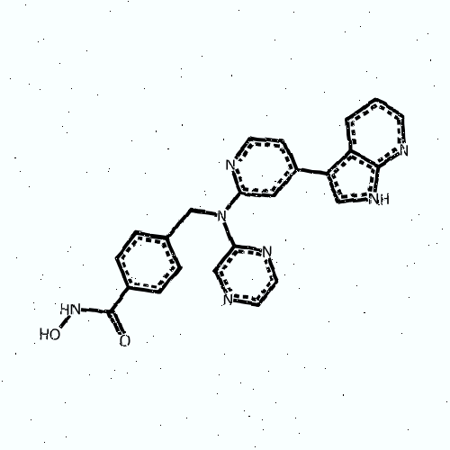 O=C(NO)c1ccc(CN(c2cnccn2)c2cc(-c3c[nH]c4ncccc34)ccn2)cc1